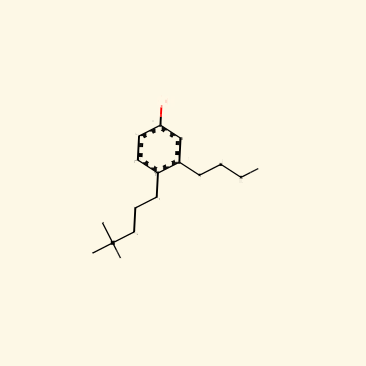 CCC(C)(C)CCCc1ccc(O)cc1CCCC(C)(C)C